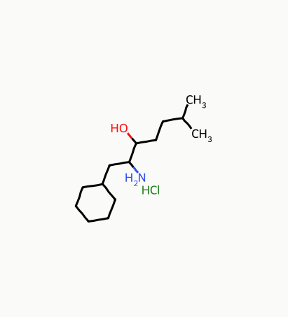 CC(C)CCC(O)C(N)CC1CCCCC1.Cl